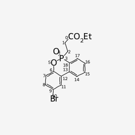 CCOC(=O)CCP1(=O)Oc2ccc(Br)cc2-c2ccccc21